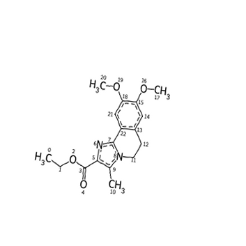 CCOC(=O)c1nc2n(c1C)CCc1cc(OC)c(OC)cc1-2